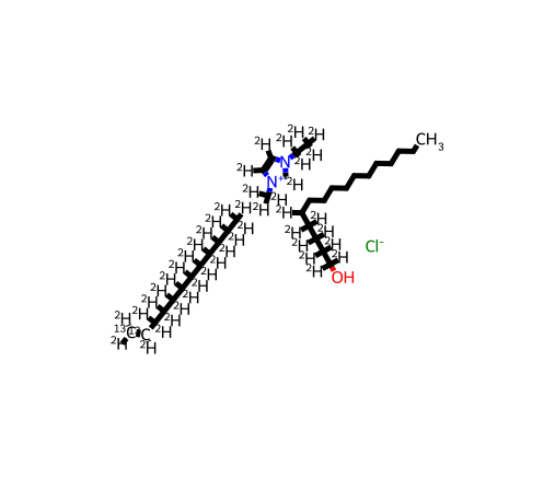 [2H]C(CCCCCCCCCCC)C([2H])([2H])C([2H])([2H])C([2H])([2H])C([2H])([2H])O.[2H][13C]([2H])=[13C]([2H])C([2H])([2H])C([2H])([2H])C([2H])([2H])C([2H])([2H])C([2H])([2H])C([2H])([2H])C([2H])([2H])C([2H])([2H])C([2H])([2H])C([2H])([2H])[2H].[2H]c1c([2H])[n+](C([2H])([2H])[2H])c([2H])n1C([2H])([2H])C([2H])([2H])[2H].[Cl-]